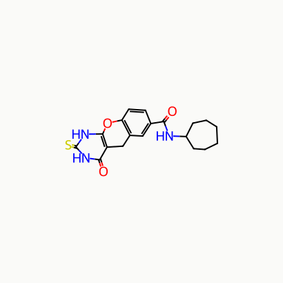 O=C(NC1CCCCCC1)c1ccc2c(c1)Cc1c([nH]c(=S)[nH]c1=O)O2